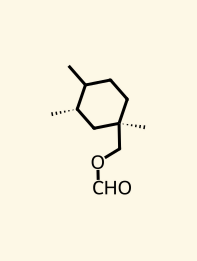 CC1CC[C@@](C)(COC=O)C[C@@H]1C